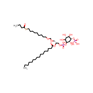 CCCCCCCCCCCCCCCC(=O)O[C@H](COCOCCCCCCCCCSC(=O)CCC)COP(=O)(O)OC1C(O)[C@H](O)C(O)[C@H](OP(=O)(O)O)[C@@H]1O